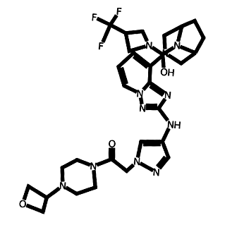 O=C(Cn1cc(Nc2nc3c(N4CC5CCC(C4)N5C(O)N4CC(C(F)(F)F)C4)cccn3n2)cn1)N1CCN(C2COC2)CC1